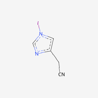 N#CCc1cn(I)cn1